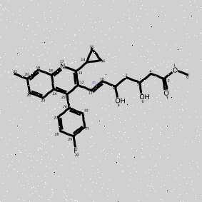 COC(=O)CC(O)CC(O)/C=C/c1c(C2CC2)nc2cc(C)ccc2c1-c1ccc(F)cc1